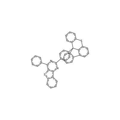 c1ccc(-c2nc(-c3ccc(C45c6ccccc6Sc6cccc(c64)-c4ccccc45)cc3)nc3c2sc2ccccc23)cc1